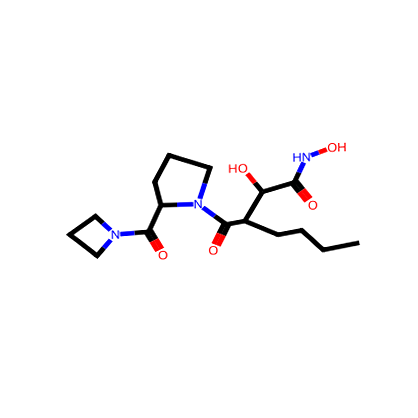 CCCCC(C(=O)N1CCCC1C(=O)N1CCC1)C(O)C(=O)NO